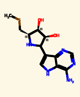 CSC[C@H]1NC(c2c[nH]c3c(N)ncnc23)[C@H](O)[C@@H]1O